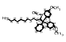 COc1ccc(C(c2ccccc2)(c2ccc(OC)cc2)C(CCCCCCCCCS)N=C=O)cc1